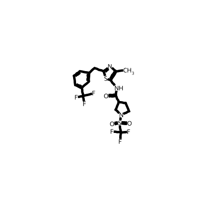 Cc1nc(Cc2cccc(C(F)(F)F)c2)sc1NC(=O)C1CCN(S(=O)(=O)C(F)(F)F)C1